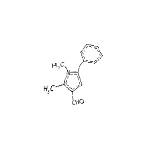 Cc1c(C=O)cc(-c2ccccc2)n1C